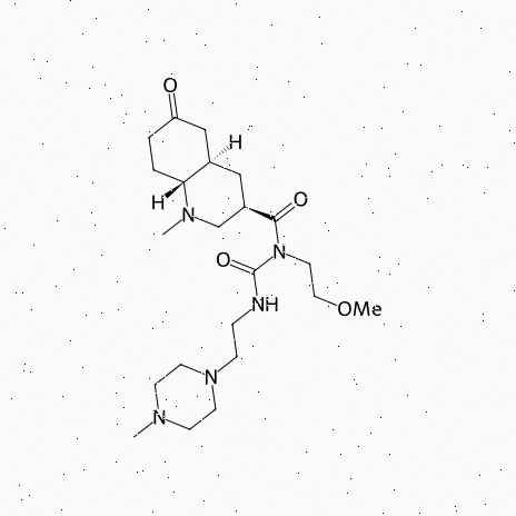 COCCN(C(=O)NCCN1CCN(C)CC1)C(=O)[C@@H]1C[C@@H]2CC(=O)CC[C@H]2N(C)C1